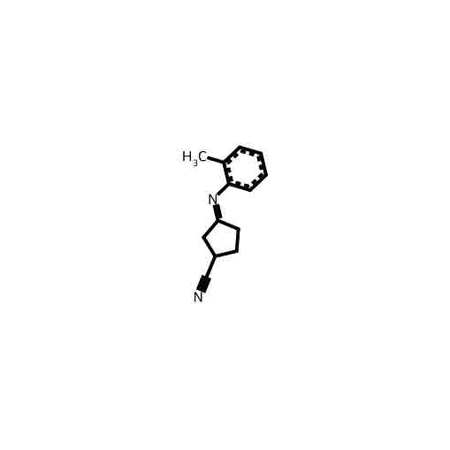 Cc1ccccc1/N=C1\CCC(C#N)C1